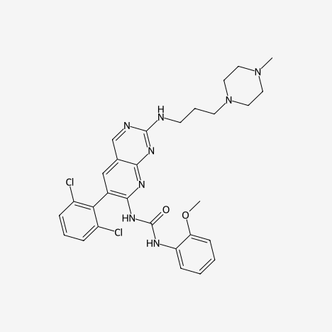 COc1ccccc1NC(=O)Nc1nc2nc(NCCCN3CCN(C)CC3)ncc2cc1-c1c(Cl)cccc1Cl